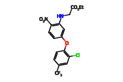 CCOC(=O)CNc1cc(Oc2ccc(C(F)(F)F)cc2Cl)ccc1[N+](=O)[O-]